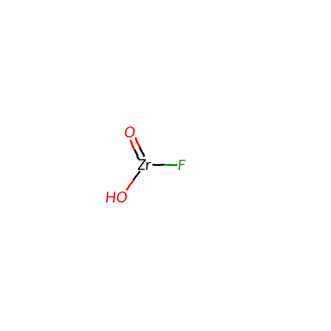 [O]=[Zr]([OH])[F]